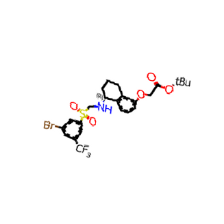 CC(C)(C)OC(=O)COc1cccc2c1CCC[C@H]2NCS(=O)(=O)c1cc(Br)cc(C(F)(F)F)c1